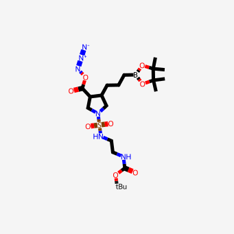 CC(C)(C)OC(=O)NCCNS(=O)(=O)N1CC(CCCB2OC(C)(C)C(C)(C)O2)C(C(=O)ON=[N+]=[N-])C1